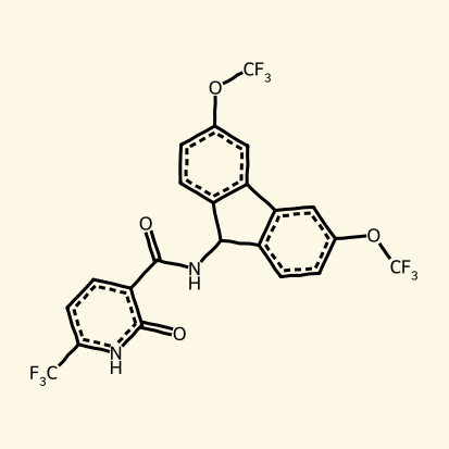 O=C(NC1c2ccc(OC(F)(F)F)cc2-c2cc(OC(F)(F)F)ccc21)c1ccc(C(F)(F)F)[nH]c1=O